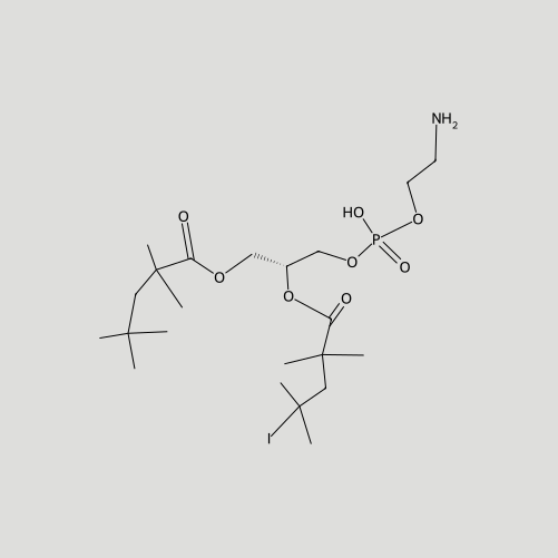 CC(C)(C)CC(C)(C)C(=O)OC[C@H](COP(=O)(O)OCCN)OC(=O)C(C)(C)CC(C)(C)I